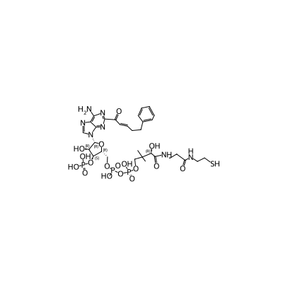 CC(C)(COP(=O)(O)OP(=O)(O)OC[C@H]1O[C@@H](n2cnc3c(N)nc(C(=O)C=CCCc4ccccc4)nc32)[C@H](O)[C@@H]1OP(=O)(O)O)[C@@H](O)C(=O)NCCC(=O)NCCS